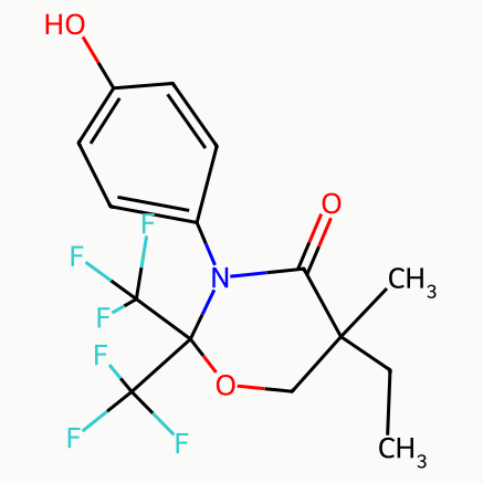 CCC1(C)COC(C(F)(F)F)(C(F)(F)F)N(c2ccc(O)cc2)C1=O